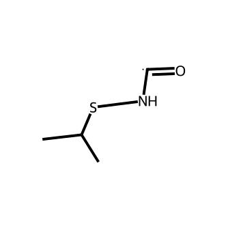 CC(C)SN[C]=O